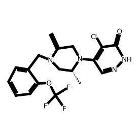 C=C1CN(c2cn[nH]c(=O)c2Cl)[C@H](C)CN1Cc1ccccc1OC(F)(F)F